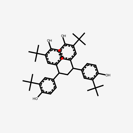 CC(C)(C)c1cc(C(CC(c2ccc(O)c(C(C)(C)C)c2)c2ccc(O)c(C(C)(C)C)c2)c2ccc(O)c(C(C)(C)C)c2)ccc1O